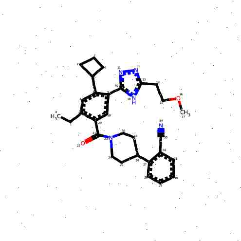 CCc1cc(C2CCC2)c(-c2nnc(CCOC)[nH]2)cc1C(=O)N1CCC(c2ccccc2C#N)CC1